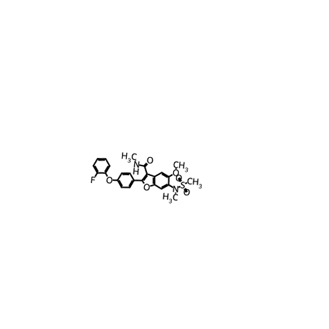 CNC(=O)c1c(-c2ccc(Oc3ccccc3F)cc2)oc2cc(N(C)S(C)(=O)=O)c(OC)cc12